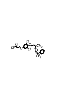 CC(CCOc1c(Cl)cc(OCC=C(Cl)Cl)cc1Cl)CON=C(c1ccccc1)C(F)(F)F